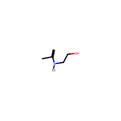 C=C(C)N(CC)CCO